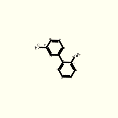 CCCc1c[c]ccc1-c1cccc(CC)c1